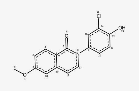 COc1ccc2c(=O)n(-c3ccc(O)c(Cl)c3)ccc2c1